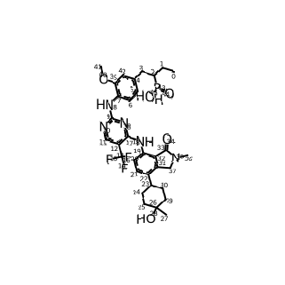 CCC(Cc1ccc(Nc2ncc(C(F)(F)F)c(Nc3ccc(C4CCC(C)(O)CC4)c4c3C(=O)N(C)C4)n2)c(OC)c1)[PH](=O)O